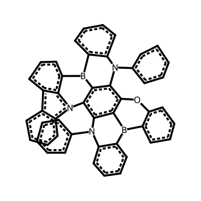 c1ccc(N2c3ccccc3B3c4c2c2c5c(c4-n4c6ccccc6c6cccc3c64)N(c3ccccc3)c3ccccc3B5c3ccccc3O2)cc1